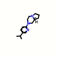 CC(C)c1ccc(N2CCN3CCC[C@H]3C2)nc1